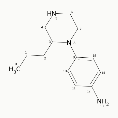 CCCC1CNCCN1c1ccc(N)cc1